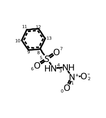 O=[N+]([O-])NNS(=O)(=O)c1ccccc1